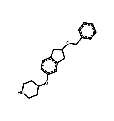 c1ccc(COC2Cc3ccc(OC4CCNCC4)cc3C2)cc1